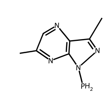 Cc1cnc2c(C)nn(P)c2n1